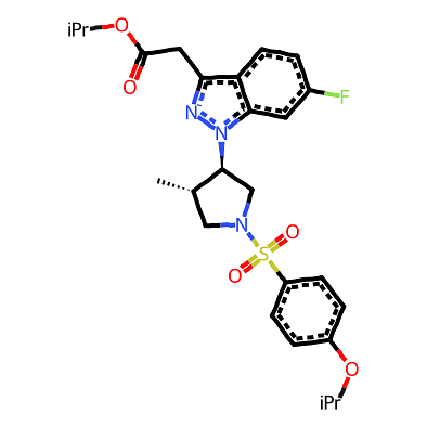 CC(C)OC(=O)Cc1nn([C@H]2CN(S(=O)(=O)c3ccc(OC(C)C)cc3)C[C@@H]2C)c2cc(F)ccc12